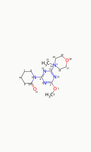 COc1nc(N2CCCCC2=O)nc([N+]2(C)CCOCC2)n1